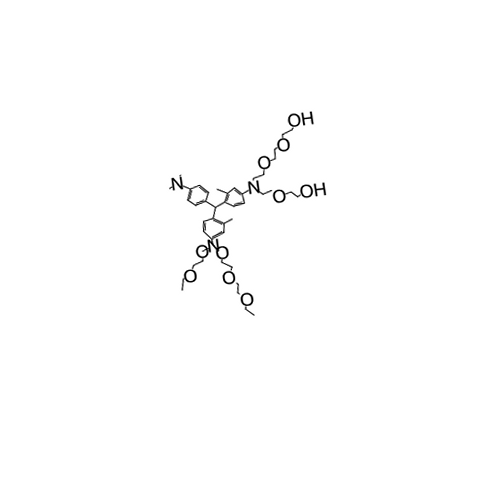 CCOCCOCCON(OCCOCC)c1ccc(C(c2ccc(N(C)C)cc2)c2ccc(N(CCOCCO)CCOCCOCCO)cc2C)c(C)c1